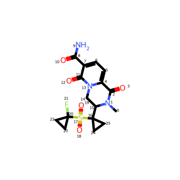 CN1C(=O)c2ccc(C(N)=O)c(=O)n2CC1C1(S(=O)(=O)C2(F)CC2)CC1